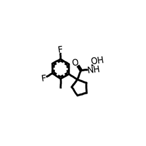 Cc1c(F)cc(F)cc1C1(C(=O)NO)CCCC1